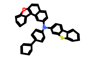 c1ccc(-c2ccc(N(c3ccc4c(c3)sc3ccccc34)c3ccc4ccc5oc6ccccc6c5c4c3)cc2)cc1